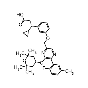 Cc1ccc(F)c(-c2ncc(COc3cccc([C@@H](CC(=O)O)C4CC4)c3)nc2OC2CC(C)(C)OC(C)(C)C2)c1